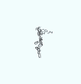 C[C@H](NC(=O)c1ccc2c(c1)nc(CN1CCC(c3cccc(OCc4ccc(Cl)cc4F)n3)CC1)n2C[C@@H]1CCO1)C(=O)N1CC(F)(F)C[C@H]1C(=O)O